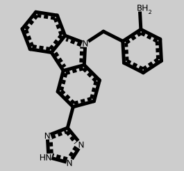 Bc1ccccc1Cn1c2ccccc2c2cc(-c3nn[nH]n3)ccc21